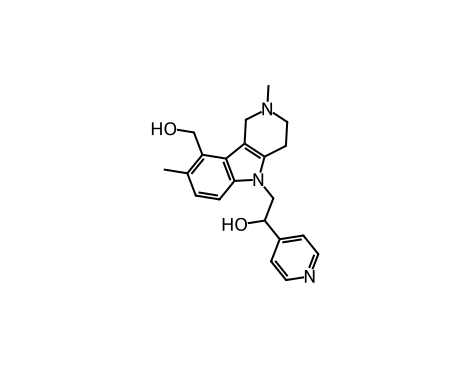 Cc1ccc2c(c1CO)c1c(n2CC(O)c2ccncc2)CCN(C)C1